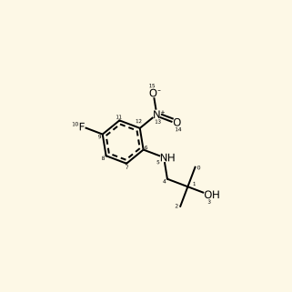 CC(C)(O)CNc1ccc(F)cc1[N+](=O)[O-]